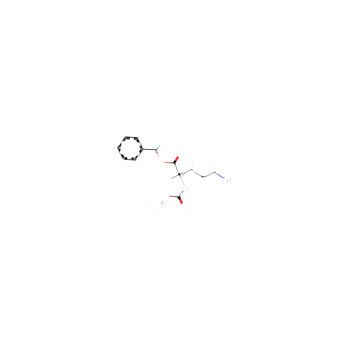 CC(C)(C)OC(=O)NC(CCCN)(C(=O)O)C(=O)OC(Cl)c1ccccc1